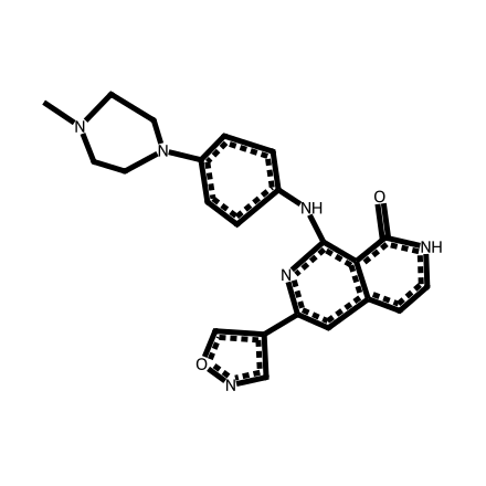 CN1CCN(c2ccc(Nc3nc(-c4cnoc4)cc4cc[nH]c(=O)c34)cc2)CC1